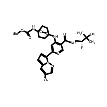 CC(C)(C)OC(=O)NC12CCC(Nc3cc(-c4ccc5cc(C#N)cnn45)ncc3C(=O)NC[C@@H](F)C(C)(C)O)(CC1)CC2